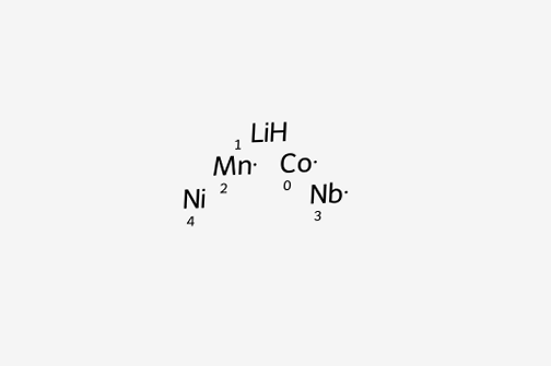 [Co].[LiH].[Mn].[Nb].[Ni]